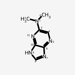 CN(C)c1cnc2nc[nH]c2n1